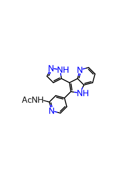 CC(=O)Nc1cc(-c2[nH]c3cccnc3c2-c2ccn[nH]2)ccn1